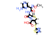 CO/N=C(\C(=O)NC1C(=O)N2C(C(=O)O)=C(CSc3nncs3)CS[C@H]12)c1cncc(N)n1